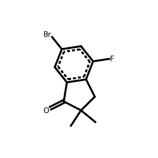 CC1(C)Cc2c(F)cc(Br)cc2C1=O